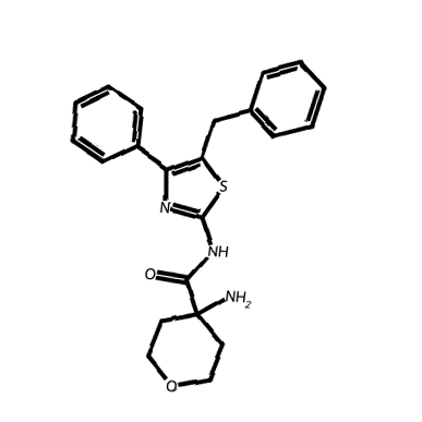 NC1(C(=O)Nc2nc(-c3ccccc3)c(Cc3ccccc3)s2)CCOCC1